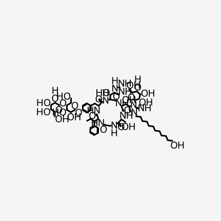 CCC(c1ccccc1)C1NC(=O)CNC(=O)C(CO)NC(=O)C(C(O)C2CN(CCCCCCCCCCCCO)C(=N)N2C2OC(CO)C(O)C(O)C2O)NC(=O)C(C(O)C2CNC(=N)N2)NC(=O)C(Cc2ccc(OC3OC(CO)C(OC4OC(CO)C(O)C(O)C4O)C(O)C3O)cc2)NC1=O